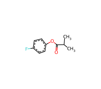 CC(C)C(=O)Oc1ccc(F)cc1